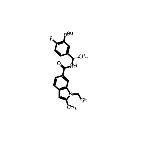 CCCCc1cc([C@H](C)NC(=O)c2ccc3cc(C)n(CC(C)C)c3c2)ccc1F